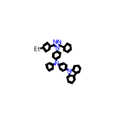 CCc1ccc(-c2nnc(-c3ccccc3)n2-c2ccc(N(c3ccccc3)c3ccc(-n4c5ccccc5c5ccccc54)cc3)cc2)cc1